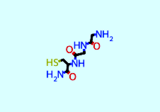 NCC(=O)NCC(=O)NC(CS)C(N)=O